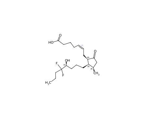 CCCC(F)(F)[C@@H](O)CCC[C@@H]1[C@H](C)CC(=O)[C@@H]1C/C=C\CCCC(=O)O